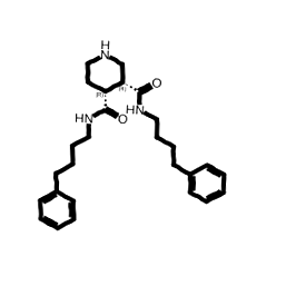 O=C(NCCCCc1ccccc1)[C@H]1CNCC[C@H]1C(=O)NCCCCc1ccccc1